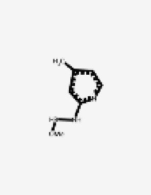 COBNc1cc(C)ccn1